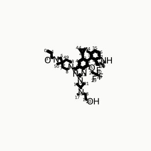 C=CC(=O)N1CC2(CCN(c3nc(N4CC(N(C)CCO)C4)nc4c(OCC(F)(F)F)c(-c5c(C)ccc6[nH]ncc56)c(C5CC5)cc34)CC2)C1